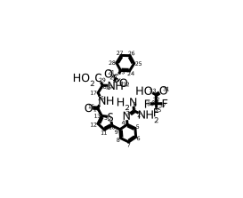 NC(N)=Nc1ccccc1-c1ccc(C(=O)NCC(NS(=O)(=O)c2ccccc2)C(=O)O)s1.O=C(O)C(F)(F)F